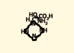 C1=Cc2cc3ccc(cc4nc(cc5ccc(cc1n2)[nH]5)C=C4)[nH]3.C[C@@H](O)[C@H](N)C(=O)O